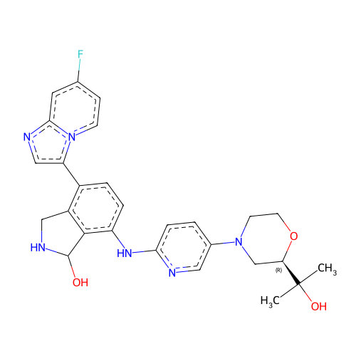 CC(C)(O)[C@H]1CN(c2ccc(Nc3ccc(-c4cnc5cc(F)ccn45)c4c3C(O)NC4)nc2)CCO1